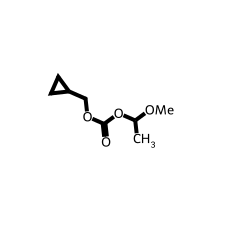 COC(C)OC(=O)OCC1CC1